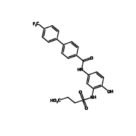 O=C(O)CCS(=O)(=O)Nc1cc(NC(=O)c2ccc(-c3ccc(C(F)(F)F)cc3)cc2)ccc1O